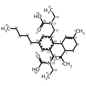 C=C(C)C1CCC(C)=CC1c1c(CN(CC)C(=O)O)cc(CCCCC)cc1CN(CC)C(=O)O